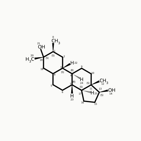 C[C@H]1C[C@H]2C(CC[C@@H]3[C@@H]2CC[C@]2(C)[C@@H](O)CC[C@@H]32)C[C@]1(C)O